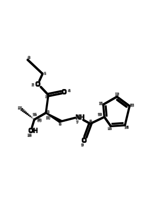 CCOC(=O)[C@@H](CNC(=O)c1ccccc1)[C@@H](C)O